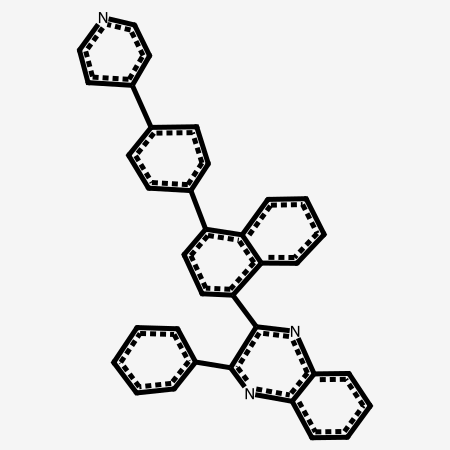 c1ccc(-c2nc3ccccc3nc2-c2ccc(-c3ccc(-c4ccncc4)cc3)c3ccccc23)cc1